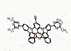 Cc1nc(C)nc(-c2ccc3c(c2)c2ccccc2n3-c2cc(C#N)cc(-n3c4ccccc4c4cc(-c5nc(C)nc(C)n5)ccc43)c2-c2nc(-c3ccccc3)nc(-c3ccccc3)n2)n1